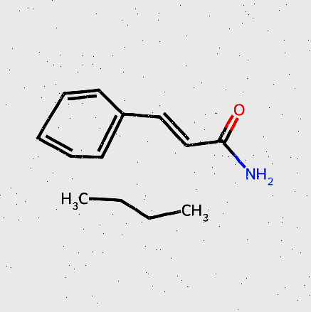 CCCC.NC(=O)/C=C/c1ccccc1